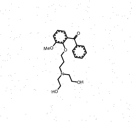 COc1cccc(C(=O)c2ccccc2)c1OCCCN(CCO)CCO